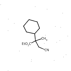 CCOC(=O)C(C)(CC#N)C1CCCCC1